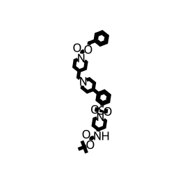 CC(C)(C)OC(=O)NC1CCN(S(=O)(=O)c2cccc(C3CCN(CC4CCN(C(=O)OCc5ccccc5)CC4)CC3)c2)CC1